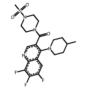 CC1CCN(c2c(C(=O)N3CCN(S(C)(=O)=O)CC3)cnc3c(F)c(F)c(F)cc23)CC1